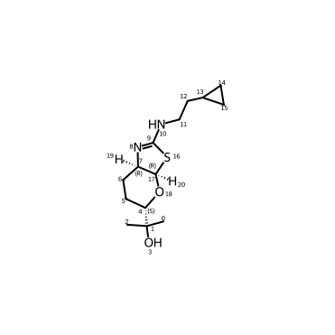 CC(C)(O)[C@@H]1CC[C@H]2N=C(NCCC3CC3)S[C@H]2O1